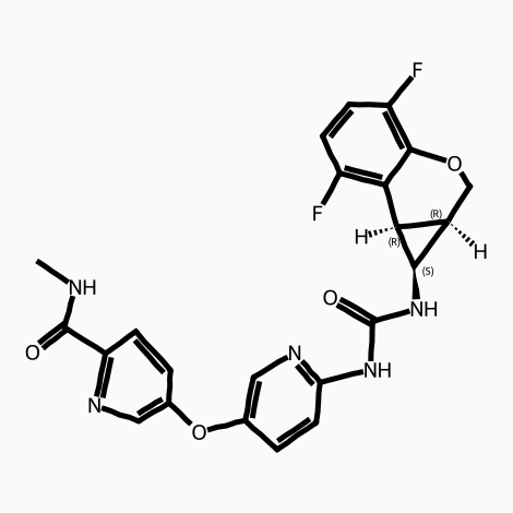 CNC(=O)c1ccc(Oc2ccc(NC(=O)N[C@@H]3[C@@H]4COc5c(F)ccc(F)c5[C@@H]43)nc2)cn1